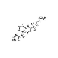 O=C(O)CCNS(=O)(=O)c1ccc2c(C(=O)c3c[nH]cn3)cccc2c1